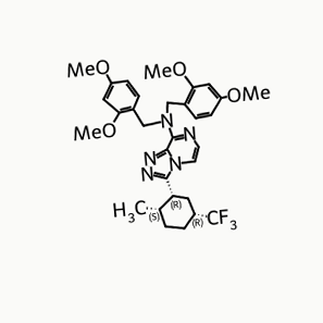 COc1ccc(CN(Cc2ccc(OC)cc2OC)c2nccn3c([C@@H]4C[C@H](C(F)(F)F)CC[C@@H]4C)nnc23)c(OC)c1